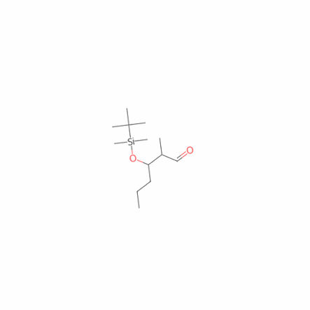 CCCC(O[Si](C)(C)C(C)(C)C)C(C)C=O